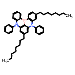 CCCCCCCCc1ccc2c(c1)N(c1ccccc1)c1cc(CCCCCCCC)cc3c1B2c1ccccc1N3c1ccccc1